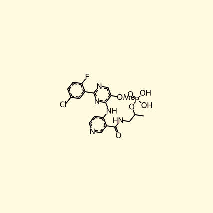 COc1cnc(-c2cc(Cl)ccc2F)nc1Nc1ccncc1C(=O)NCC(C)OP(=O)(O)O